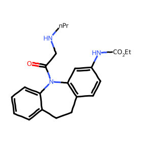 CCCNCC(=O)N1c2ccccc2CCc2ccc(NC(=O)OCC)cc21